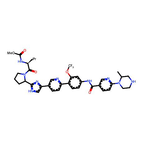 COC(=O)N[C@H](C(=O)N1CCCC1c1nc(-c2ccc(-c3ccc(NC(=O)c4ccc(N5CCNCC5C)nc4)cc3OC(F)(F)F)nc2)c[nH]1)C(C)C